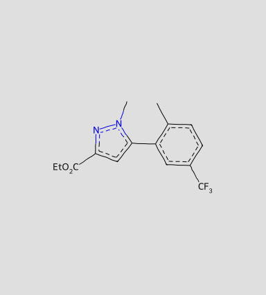 CCOC(=O)c1cc(-c2cc(C(F)(F)F)ccc2C)n(C)n1